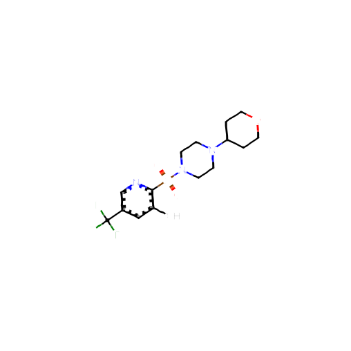 Cc1cc(C(F)(F)F)cnc1S(=O)(=O)N1CCN(C2CCOCC2)CC1